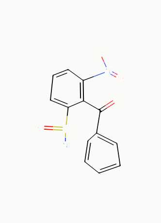 NS(=O)(=O)c1cccc([N+](=O)[O-])c1C(=O)c1ccccc1